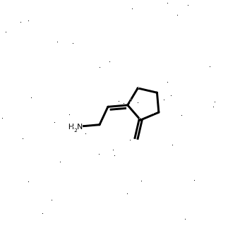 C=C1CCC/C1=C/CN